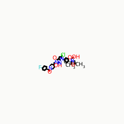 Cc1cc(-n2c(Cl)cc3c(=O)n(CC4(O)CCN(C(=O)c5ccc(F)cc5)CC4)cnc32)ccc1[C@H]1CO[C@H](C)CN1C(=O)O